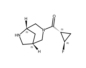 O=C([C@@H]1C[C@H]1F)N1C[C@@H]2CN[C@@H](C2)C1